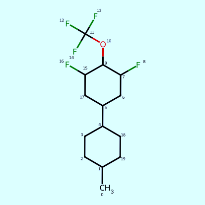 CC1CCC(C2CC(F)C(OC(F)(F)F)C(F)C2)CC1